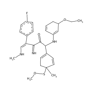 CCOC1C=C(NC(C(=O)C(=N)/C(=C\NC)c2ccc(F)cc2)C2=CCC(C)(SOC)C=C2)C=CC1